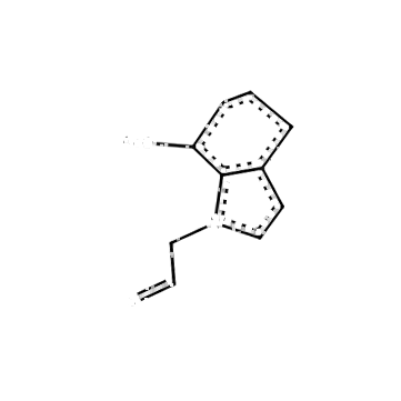 CC(=O)Oc1cccc2ccn(CC=S)c12